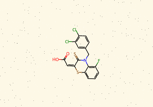 O=C(O)C=C1Sc2cccc(F)c2N(Cc2ccc(Cl)c(Cl)c2)C1=S